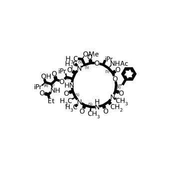 C=C1C(=O)N[C@@H](C)C(=O)N(C)[C@@H](C)C(=O)NC([C@@H](OC(=O)[C@@H](NC(=O)CC)[C@H](O)C(C)C)C(C)C)C(=O)N(C)[C@@H]([C@H](C)OC)C(=O)OC(C(C)C)[C@H](NC(C)=O)C(=O)O[C@H](Cc2ccccc2)C(=O)N1C